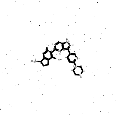 CNC1CCc2c1cc(F)c(-c1ncc3[nH]nc(-c4ccc(N5CCOCC5)nc4)c3n1)c2F